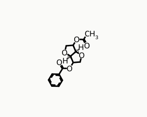 CC(=O)OC1CO[C@@H]2C(OC(=O)c3ccccc3)CO[C@H]12